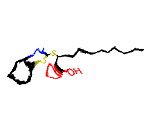 CCCCCCCCCCC(Sc1nc2ccccc2s1)C(=O)O